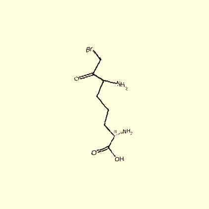 NC(CCC[C@H](N)C(=O)O)C(=O)CBr